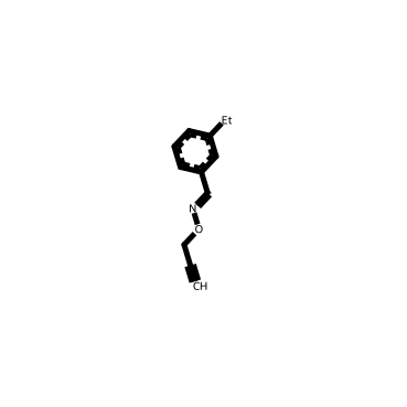 C#CCON=[C]c1cccc(CC)c1